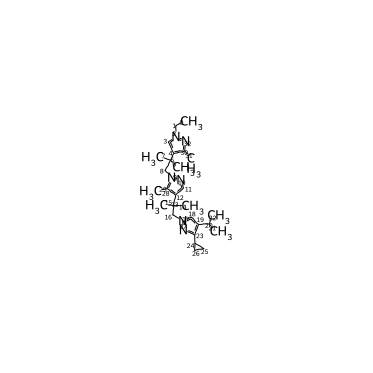 CCn1cc(C(C)(C)Cn2ncc(C(C)(C)Cn3cc(C(C)C)c(C4CC4)n3)c2C)c(C)n1